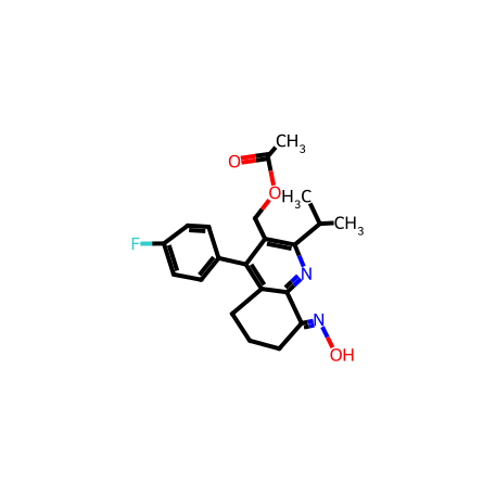 CC(=O)OCc1c(C(C)C)nc2c(c1-c1ccc(F)cc1)CCC/C2=N\O